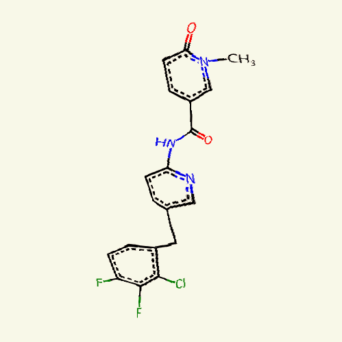 Cn1cc(C(=O)Nc2ccc(Cc3ccc(F)c(F)c3Cl)cn2)ccc1=O